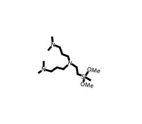 CO[Si](C)(CCN(CCCN(C)C)CCCN(C)C)OC